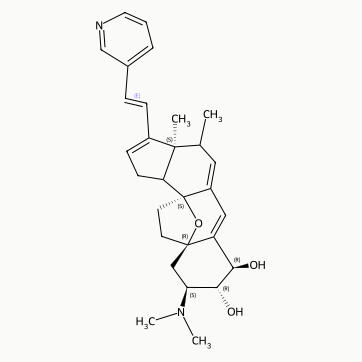 CC1C=C2C=C3[C@@H](O)[C@H](O)[C@@H](N(C)C)C[C@]34CC[C@]2(O4)C2CC=C(/C=C/c3cccnc3)[C@@]12C